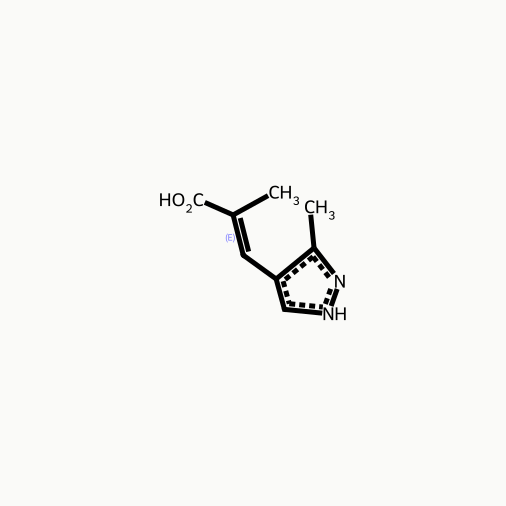 C/C(=C\c1c[nH]nc1C)C(=O)O